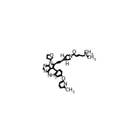 Cc1cccc(Oc2ccc(-c3c(C#CC4[C@H]5CN(C(=O)/C=C/CN(C)C)C[C@@H]45)n(C4CCOC4)c4ncnc(N)c34)cc2)n1